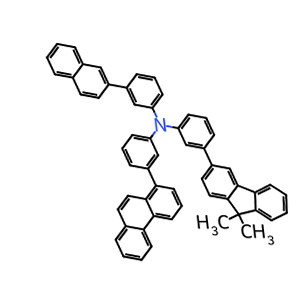 CC1(C)c2ccccc2-c2cc(-c3cccc(N(c4cccc(-c5ccc6ccccc6c5)c4)c4cccc(-c5cccc6c5ccc5ccccc56)c4)c3)ccc21